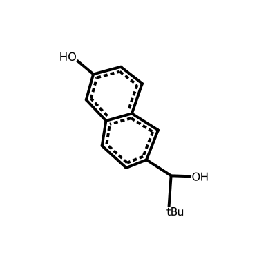 CC(C)(C)C(O)c1ccc2cc(O)ccc2c1